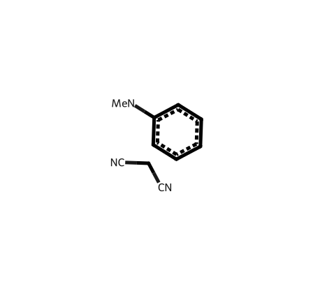 CNc1ccccc1.N#CCC#N